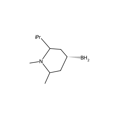 B[C@@H]1CC(C)N(C)C(C(C)C)C1